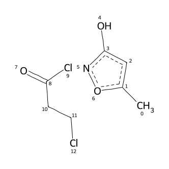 Cc1cc(O)no1.O=C(Cl)CCCl